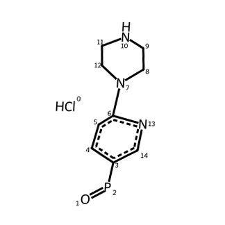 Cl.O=Pc1ccc(N2CCNCC2)nc1